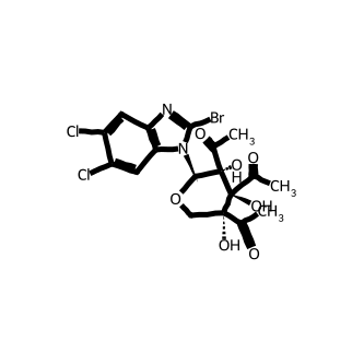 CC(=O)[C@]1(O)[C@@](O)(C(C)=O)CO[C@@H](n2c(Br)nc3cc(Cl)c(Cl)cc32)[C@@]1(O)C(C)=O